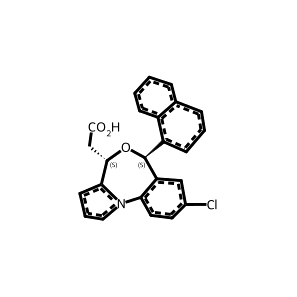 O=C(O)C[C@@H]1O[C@@H](c2cccc3ccccc23)c2cc(Cl)ccc2-n2cccc21